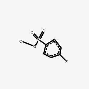 O=S(=O)(OCl)c1ccc(F)cc1